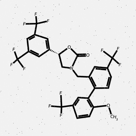 COc1ccc(C(F)(F)F)cc1-c1ccc(C(F)(F)F)cc1CN1C[C@H](c2cc(C(F)(F)F)cc(C(F)(F)F)c2)OC1=O